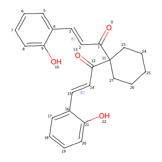 O=C(/C=C/c1ccccc1O)C1(C(=O)/C=C/c2ccccc2O)CCCCC1